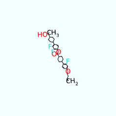 C=CCCOc1ccc(C2CCC(C(=O)Oc3ccc(C4CCC(C(C)O)CC4)c(F)c3F)CC2)c(F)c1